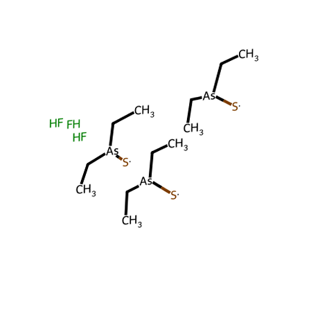 CC[As]([S])CC.CC[As]([S])CC.CC[As]([S])CC.F.F.F